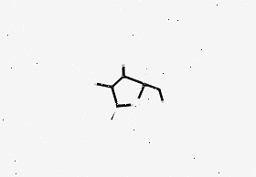 C[C@@H]1O[C@](C)(CO)C(O)C1O